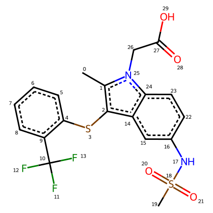 Cc1c(Sc2ccccc2C(F)(F)F)c2cc(NS(C)(=O)=O)ccc2n1CC(=O)O